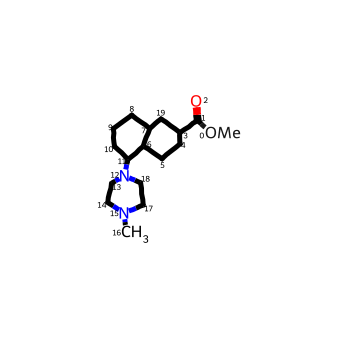 COC(=O)C1CCC2C(CCCC2N2CCN(C)CC2)C1